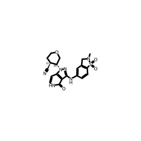 CN1Cc2cc(Nc3nn([C@H]4COCC[C@@H]4C#N)c4cc[nH]c(=O)c34)ccc2S1(=O)=O